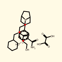 NC(=O)c1cccc(C2CC3CCC(C2)N3CCN(CC2CCCCC2)C(=O)[C@@H](O)CO)c1.O=C(O)C(=O)O